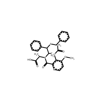 COc1ccnc(C(=O)N(C(C)C(SCc2ccccc2)c2ccccc2)[C@@H](C)C(=O)O)c1OC(C)=O